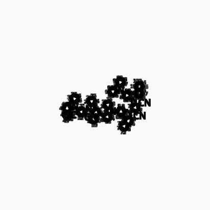 N#Cc1cc(C#N)c(-n2c3ccc(-n4c5ccccc5c5c(-c6cc7c8ccccc8n(-c8cc(-n9c%10ccccc%10c%10ccc%11ccccc%11c%109)c(C#N)cc8C#N)c7c7ccccc67)cccc54)cc3c3c4ccccc4ccc32)cc1-n1c2ccc(-n3c4ccccc4c4ccccc43)cc2c2c3ccccc3ccc21